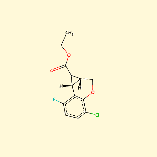 CCOC(=O)C1[C@H]2c3c(F)ccc(Cl)c3OC[C@@H]12